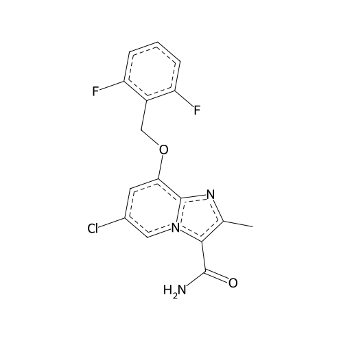 Cc1nc2c(OCc3c(F)cccc3F)cc(Cl)cn2c1C(N)=O